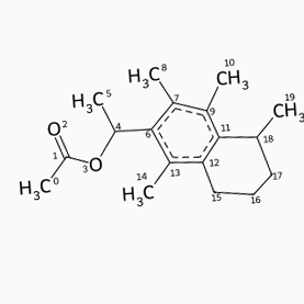 CC(=O)OC(C)c1c(C)c(C)c2c(c1C)CCCC2C